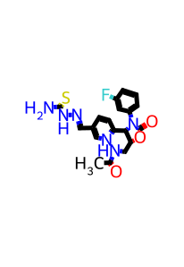 CC(=O)NCC1OC(=O)N(c2cccc(F)c2)C1c1ccc(C=NNC(N)=S)cn1